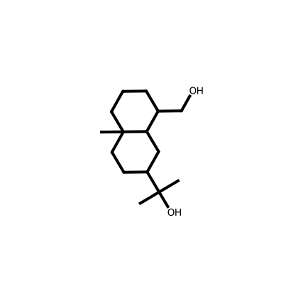 CC(C)(O)C1CCC2(C)CCCC(CO)C2C1